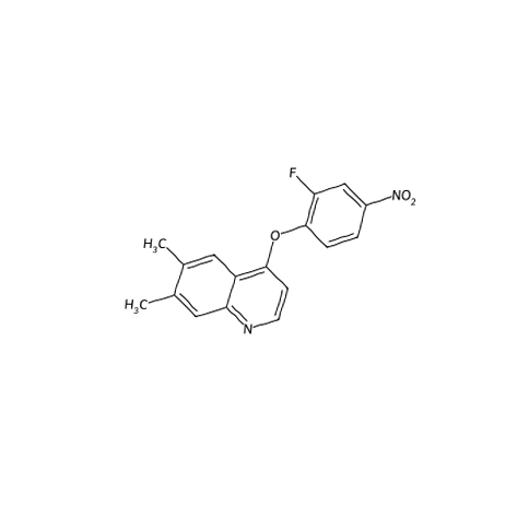 Cc1cc2nccc(Oc3ccc([N+](=O)[O-])cc3F)c2cc1C